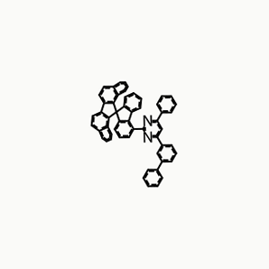 c1ccc(-c2cccc(-c3cc(-c4ccccc4)nc(-c4cccc5c4-c4ccccc4C54c5c(ccc6ccccc56)-c5ccc6ccccc6c54)n3)c2)cc1